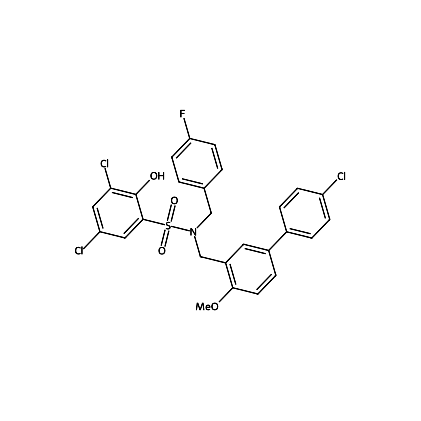 COc1ccc(-c2ccc(Cl)cc2)cc1CN(Cc1ccc(F)cc1)S(=O)(=O)c1cc(Cl)cc(Cl)c1O